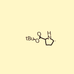 CC(C)(C)OC(=O)C1CC[CH]N1